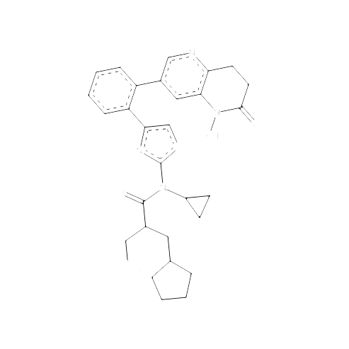 CN1C(=O)CCc2ncc(-c3ccccc3-c3csc(N(C(=O)C(CC(=O)O)CC4CCCC4)C4CC4)n3)cc21